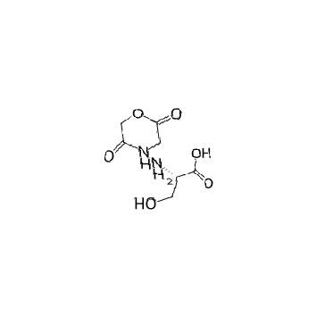 N[C@@H](CO)C(=O)O.O=C1COC(=O)CN1